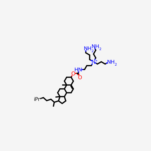 CC(C)CCCC(C)C1CCC2C3CC=C4CC(OC(=O)NCCC[N+](CCCN)(CCCN)CCCN)CCC4(C)C3CCC12C